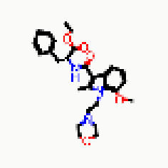 CCOC(=O)[C@H](Cc1ccccc1)NC(=O)c1c(C)n(CCN2CCOCC2)c2c(OC)cccc12